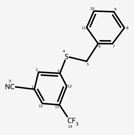 N#Cc1cc(SCc2ccccc2)cc(C(F)(F)F)c1